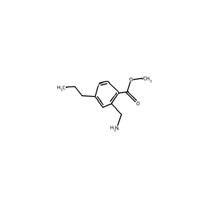 CCCc1ccc(C(=O)OC)c(CN)c1